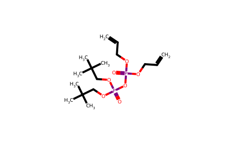 C=CCOP(=O)(OCC=C)OP(=O)(OCC(C)(C)C)OCC(C)(C)C